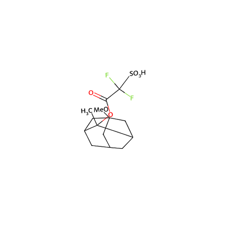 COC12CC3CC(C1)C(C)(OC(=O)C(F)(F)S(=O)(=O)O)C(C3)C2